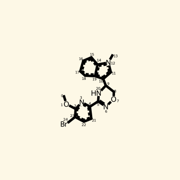 COc1nc(C2=NOCC(c3cn(C)c4ccccc34)N2)ccc1Br